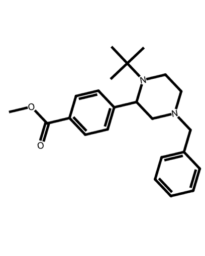 COC(=O)c1ccc(C2CN(Cc3ccccc3)CCN2C(C)(C)C)cc1